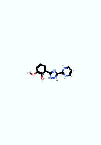 CCOc1cccc(-c2nc(-c3ncccn3)n[nH]2)c1O